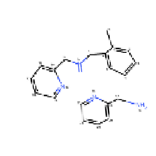 Cc1ccccc1CNCc1ccccn1.NCc1ccccn1